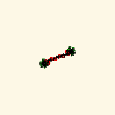 O=C(CCOCCOCCOCCOCCC(=O)Oc1c(F)c(F)c(F)c(F)c1F)Oc1c(F)c(F)c(F)c(F)c1F